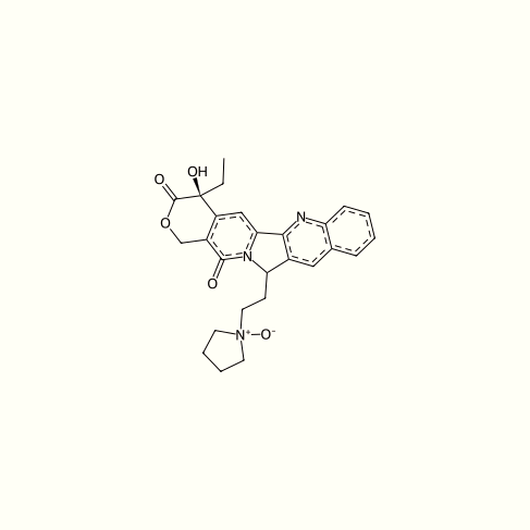 CC[C@@]1(O)C(=O)OCc2c1cc1n(c2=O)C(CC[N+]2([O-])CCCC2)c2cc3ccccc3nc2-1